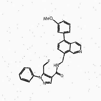 COc1cccc(-c2ccc(CNC(=O)c3cnn(-c4ccccc4)c3CF)c3cnccc23)c1